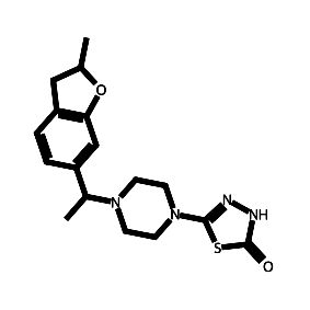 CC1Cc2ccc(C(C)N3CCN(c4n[nH]c(=O)s4)CC3)cc2O1